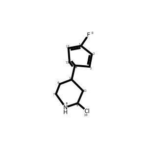 Fc1ccc([C]2CCNC(Cl)C2)cc1